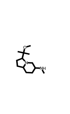 CNC1CCC2CCC(C(C)(C)OC)N2C1